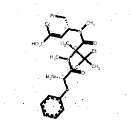 CC/C(=C\[C@H](CC(C)C)N(C)C(=O)[C@@](C)(N(C)C(=O)[C@@H](N)Cc1ccccc1)C(C)(C)CC)C(=O)O